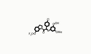 COc1cc(/N=C(/C(=O)N2CCc3ccc(OC(F)(F)F)cc32)c2ccc(Cl)cc2)cc(OO)c1